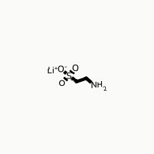 NCCS(=O)(=O)[O-].[Li+]